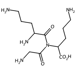 NCCCC(N)C(=O)N(C(=O)CN)C(CCCN)C(=O)O